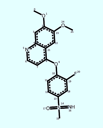 COc1cc2nccc(Oc3ccc(S(C)(=N)=O)cc3F)c2cc1OC